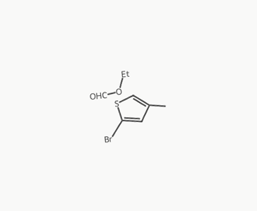 CCOC=O.Cc1csc(Br)c1